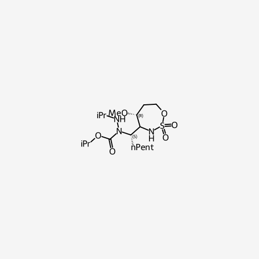 CCCCC[C@@H](C1NS(=O)(=O)OCC[C@H]1OC)N(NC(C)C)C(=O)OC(C)C